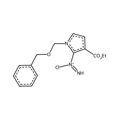 CCOC(=O)c1ccn(COCc2ccccc2)c1[N+](=N)Cl